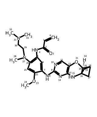 C=CC(=O)Nc1cc(Nc2ncc3c(n2)NC24CC(C2)[C@@H]4O3)c(OC)cc1N(C)CCN(C)C